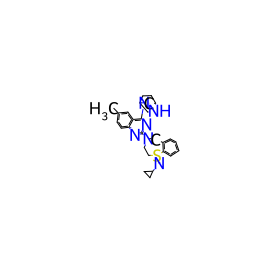 Cc1ccc2nc(N3CCS(=NC4CC4)c4ccccc4C3)nc(N3CC4CCC3CN4)c2c1